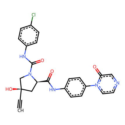 C#C[C@@]1(O)C[C@H](C(=O)Nc2ccc(-n3ccncc3=O)cc2)N(C(=O)Nc2ccc(Cl)cc2)C1